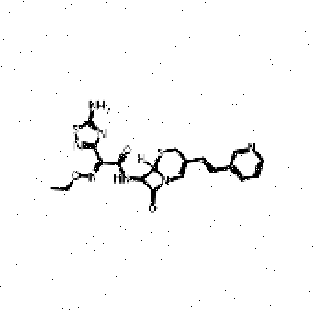 CCON=C(C(=O)NC1C(=O)N2C=C(C=Cc3cccnc3)CS[C@@H]12)c1nsc(N)n1